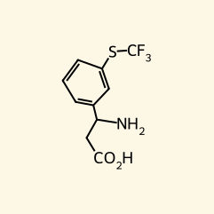 NC(CC(=O)O)c1cccc(SC(F)(F)F)c1